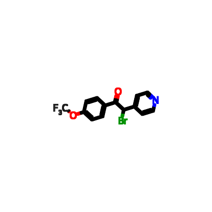 O=C(c1ccc(OC(F)(F)F)cc1)C(Br)c1ccncc1